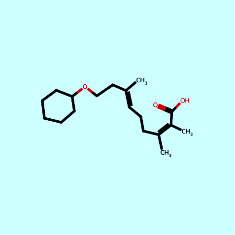 CC(=CCCC(C)=C(C)C(=O)O)CCOC1CCCCC1